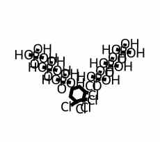 ClC1(Cl)CCCC(Cl)(Cl)C1(Cl)Cl.O=P(O)(O)O.O=P(O)(O)O.O=P(O)(O)O.O=P(O)(O)O.O=P(O)(O)O.O=P(O)(O)O